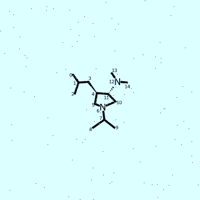 CC(C)C[C@@H]1CN(C(C)C)C[C@H]1N(C)C